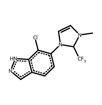 CN1C=CN(c2ccc3cn[nH]c3c2Cl)C1C(F)(F)F